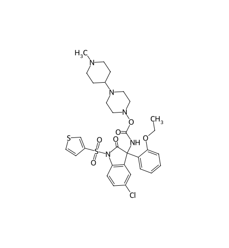 CCOc1ccccc1C1(NC(=O)ON2CCN(C3CCN(C)CC3)CC2)C(=O)N(S(=O)(=O)c2ccsc2)c2ccc(Cl)cc21